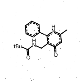 Cc1cc(=O)c(CNC(=O)C(C)(C)C)c(-c2ccccc2)[nH]1